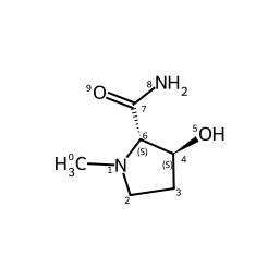 CN1CC[C@H](O)[C@H]1C(N)=O